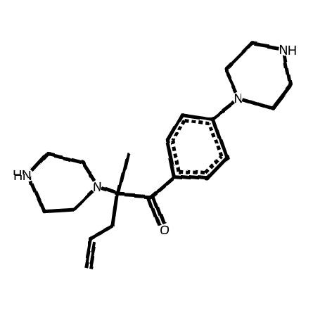 C=CCC(C)(C(=O)c1ccc(N2CCNCC2)cc1)N1CCNCC1